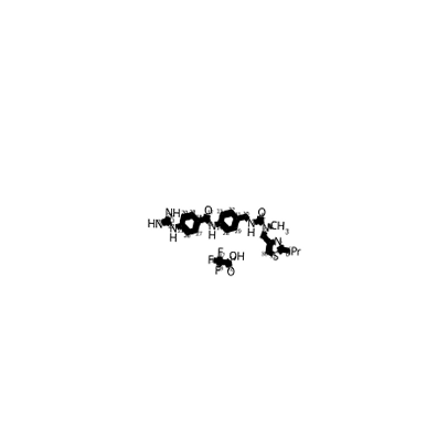 CC(C)c1nc(CN(C)C(=O)NCc2ccc(NC(=O)c3ccc(NC(=N)N)cc3)cc2)cs1.O=C(O)C(F)(F)F